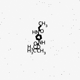 CCCC(=O)Nc1ccc(NC(=O)OC(C)(C)C)cc1